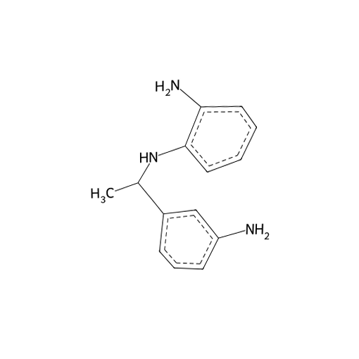 CC(Nc1ccccc1N)c1cccc(N)c1